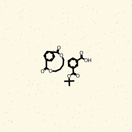 CC(C)(C)OC(=O)c1cccc(C(=O)O)c1.O=C1OCCCCOC(=O)c2ccc1cc2